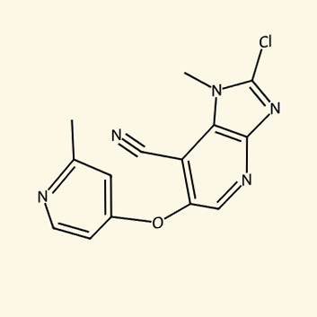 Cc1cc(Oc2cnc3nc(Cl)n(C)c3c2C#N)ccn1